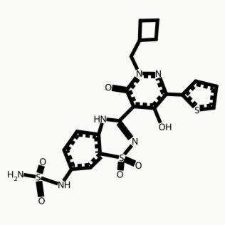 NS(=O)(=O)Nc1ccc2c(c1)S(=O)(=O)N=C(c1c(O)c(-c3cccs3)nn(CC3CCC3)c1=O)N2